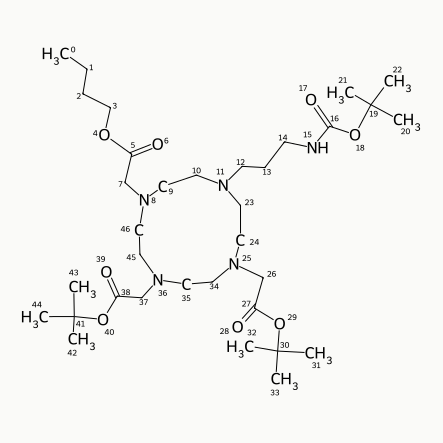 CCCCOC(=O)CN1CCN(CCCNC(=O)OC(C)(C)C)CCN(CC(=O)OC(C)(C)C)CCN(CC(=O)OC(C)(C)C)CC1